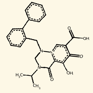 CC(C)N1CN(Cc2ccccc2-c2ccccc2)n2cc(C(=O)O)c(=O)c(O)c2C1=O